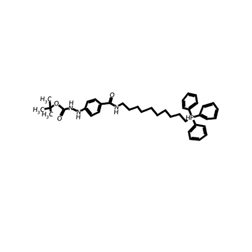 CC(C)(C)OC(=O)NNc1ccc(C(=O)NCCCCCCCCCC[PH](c2ccccc2)(c2ccccc2)c2ccccc2)cc1